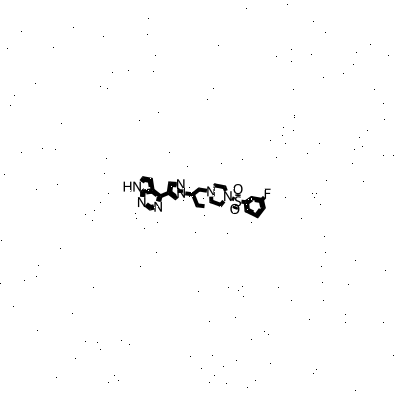 CCC(CN1CCN(S(=O)(=O)c2cccc(F)c2)CC1)n1cc(-c2ncnc3[nH]ccc23)cn1